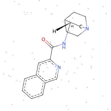 O=C(N[C@H]1CN2CCC1CC2)c1cc2ccccc2cn1